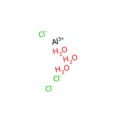 O.O.O.[Al+3].[Cl-].[Cl-].[Cl-]